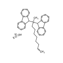 C=CCCCCCC[Si](C)(C1c2ccccc2-c2ccccc21)C1c2ccccc2-c2ccccc21.Cl.Cl.[Ti]